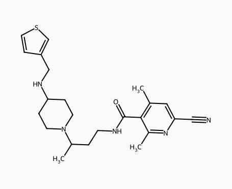 Cc1cc(C#N)nc(C)c1C(=O)NCCC(C)N1CCC(NCc2ccsc2)CC1